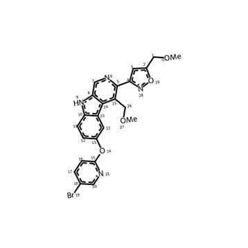 COCc1cc(-c2ncc3[nH]c4ccc(Oc5ccc(Br)cn5)cc4c3c2COC)no1